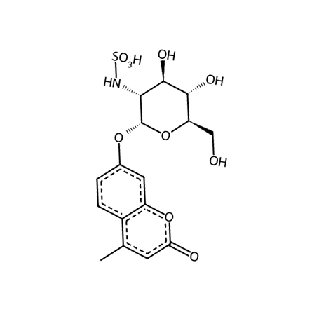 Cc1cc(=O)oc2cc(O[C@H]3O[C@H](CO)[C@@H](O)[C@H](O)[C@H]3NS(=O)(=O)O)ccc12